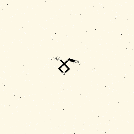 C=CC1(C)COC1